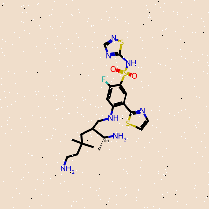 C[C@@H](N)C(CNc1cc(F)c(S(=O)(=O)Nc2ncns2)cc1-c1nccs1)CC(C)(C)CCN